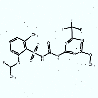 COc1nc(NC(=O)NS(=O)(=O)c2c(C)cccc2OC(C)F)nc(C(F)(F)F)n1